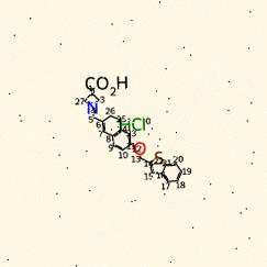 Cl.O=C(O)C1CN(CC2=Cc3ccc(OCc4cc5ccccc5s4)cc3CC2)C1